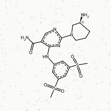 CS(=O)(=O)c1cc(Nc2nc(N3CCC[C@H](N)C3)ncc2C(N)=O)cc(S(C)(=O)=O)c1